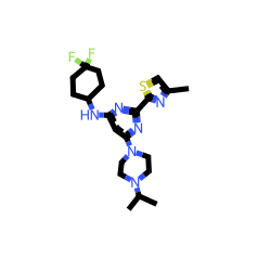 Cc1csc(-c2nc(NC3CCC(F)(F)CC3)cc(N3CCN(C(C)C)CC3)n2)n1